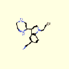 CCCn1cc(C2CNCCN2)c2cc(C#N)ccc21